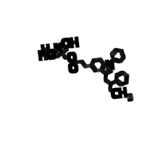 CCC(Cc1cn(-c2ccccc2)c2ccc(CCC(=O)OCC(N)(CO)CO)cc12)c1ccccc1